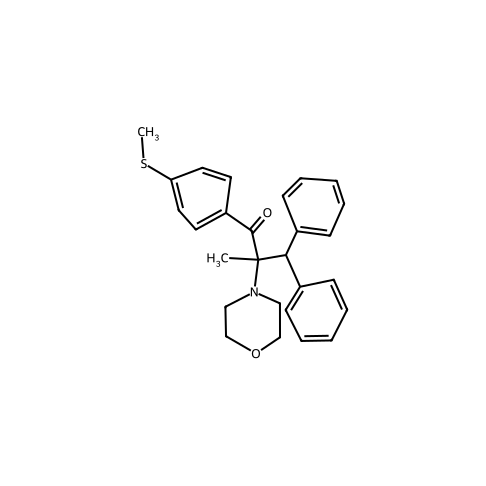 CSc1ccc(C(=O)C(C)(C(c2ccccc2)c2ccccc2)N2CCOCC2)cc1